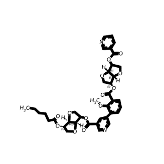 CCCCCC(=O)O[C@H]1CO[C@@H]2C(OC(=O)c3cncc(-c4cccc(C(=O)O[C@H]5CO[C@@H]6C(OC(=O)c7cccnc7)CO[C@H]56)c4OC)c3)CO[C@H]12